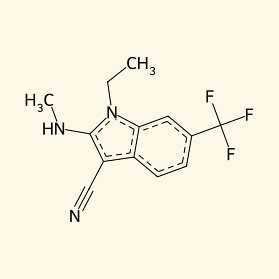 CCn1c(NC)c(C#N)c2ccc(C(F)(F)F)cc21